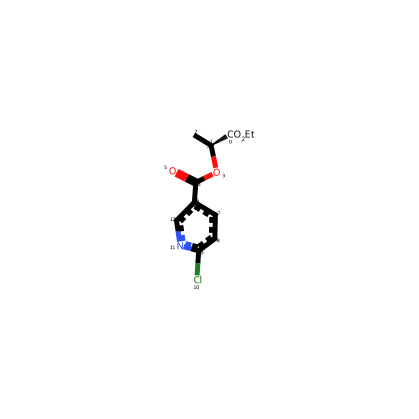 CCOC(=O)[C@H](C)OC(=O)c1ccc(Cl)nc1